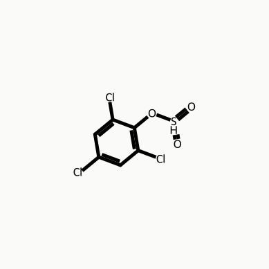 O=[SH](=O)Oc1c(Cl)cc(Cl)cc1Cl